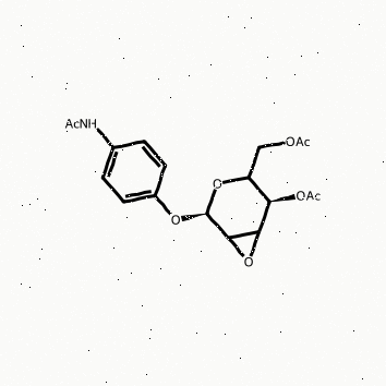 CC(=O)Nc1ccc(O[C@H]2OC(COC(C)=O)[C@@H](OC(C)=O)C3OC32)cc1